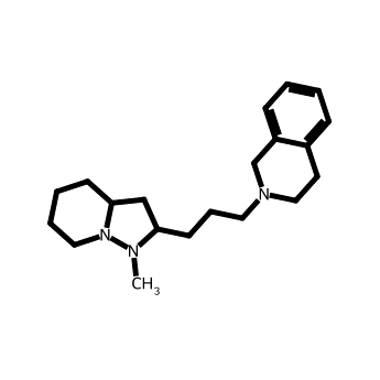 CN1C(CCCN2CCc3ccccc3C2)CC2CCCCN21